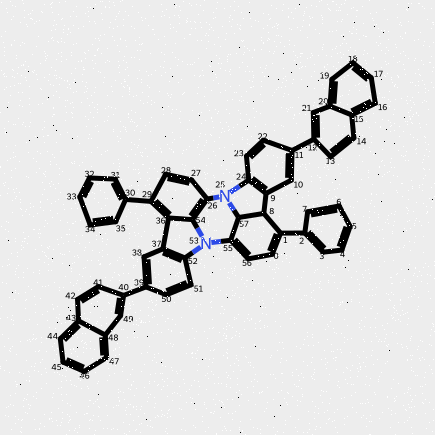 C1=C(c2ccccc2)C2c3cc(-c4ccc5ccccc5c4)ccc3N3c4ccc(-c5ccccc5)c5c6cc(-c7ccc8ccccc8c7)ccc6n(c45)C(=C1)C23